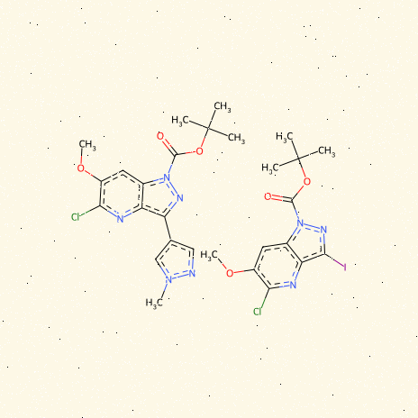 COc1cc2c(nc1Cl)c(-c1cnn(C)c1)nn2C(=O)OC(C)(C)C.COc1cc2c(nc1Cl)c(I)nn2C(=O)OC(C)(C)C